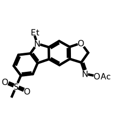 CCn1c2ccc(S(C)(=O)=O)cc2c2cc3c(cc21)OC/C3=N\OC(C)=O